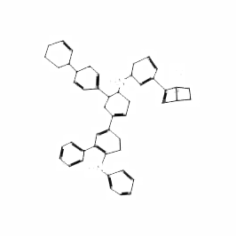 C1=CC(C2C=CC(C3CC(C4=CC(c5ccccc5)=C(Nc5ccccc5)CC4)=CCC3NC3C=C(C4=CC5CC[C@H]45)C=CC3)=CC2)CCC1